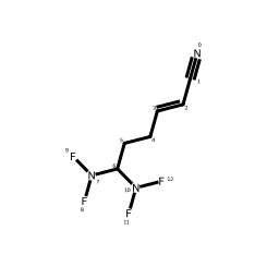 N#CC=CCCC(N(F)F)N(F)F